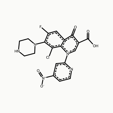 O=C(O)c1cn(-c2cc([N+](=O)[O-])ccn2)c2c(Cl)c(N3CCNCC3)c(F)cc2c1=O